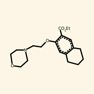 CCOC(=O)c1cc2c(cc1OCCN1CCOCC1)CCCC2